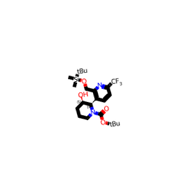 CC(C)(C)OC(=O)N1CCC[C@H](O)[C@@H]1c1ccc(C(F)(F)F)nc1CO[Si](C)(C)C(C)(C)C